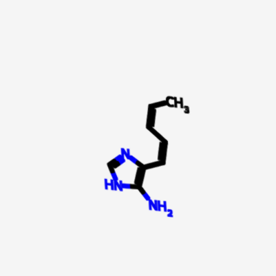 C/C=C\C=C/c1nc[nH]c1N